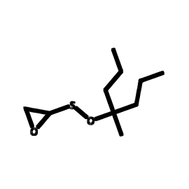 CCCC(C)(CCC)OSC1CO1